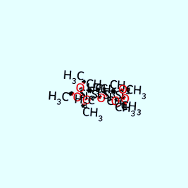 CCO[Si](OCC)(OCC)C(C)[Si](C)(C)O[Si](C)(C)C(C)[Si](OC)(OC)OC